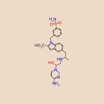 CC(Cc1ccc2c(c1)cc(C(=O)O)n2Cc1cccc(S(N)(=O)=O)c1)NCC(O)N1C=CC(N)=NC1